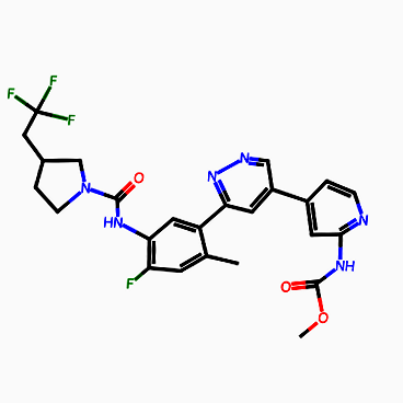 COC(=O)Nc1cc(-c2cnnc(-c3cc(NC(=O)N4CCC(CC(F)(F)F)C4)c(F)cc3C)c2)ccn1